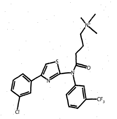 C[N+](C)(C)CCCC(=O)N(c1cccc(C(F)(F)F)c1)c1nc(-c2cccc(Cl)c2)cs1